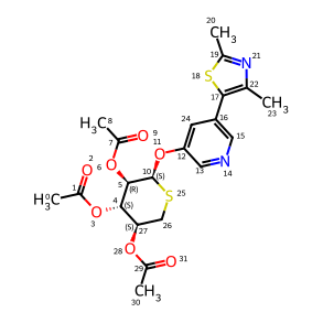 CC(=O)O[C@@H]1[C@@H](OC(C)=O)[C@@H](Oc2cncc(-c3sc(C)nc3C)c2)SC[C@H]1OC(C)=O